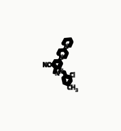 Cc1ccc(Cn2ncc3c(C#N)cc(N4CCC(N5CCCCC5)CC4)cc32)c(Cl)c1